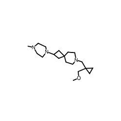 COCC1(CN2CCC3(CC2)CC(N2CCN(C)CC2)C3)CC1